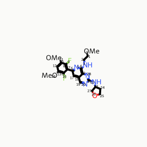 COCCNc1nc(-c2c(F)c(OC)cc(OC)c2F)cc2cnc(NC3CCOC3)nc12